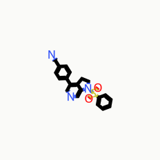 N#Cc1ccc(-c2cncc3c2CCN3S(=O)(=O)c2ccccc2)cc1